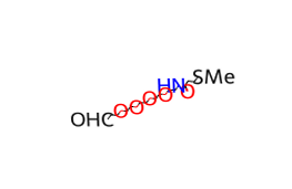 CSCCC(=O)NCCOCCOCCOCCOCCC=O